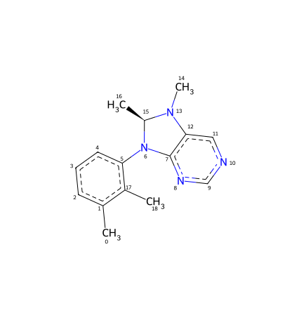 Cc1cccc(N2c3ncncc3N(C)[C@@H]2C)c1C